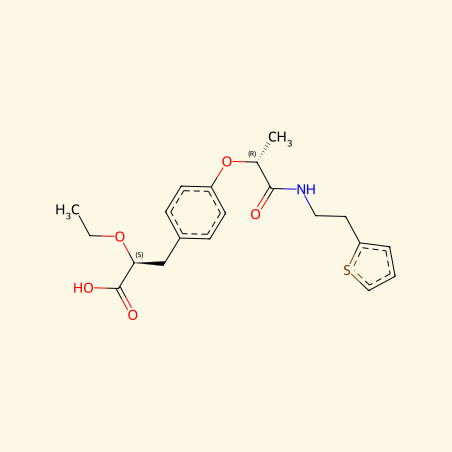 CCO[C@@H](Cc1ccc(O[C@H](C)C(=O)NCCc2cccs2)cc1)C(=O)O